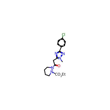 CCOC(=O)N1CCCCN1C(=O)Cc1nc(-c2ccc(Cl)cc2)nn1C